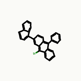 Brc1c2ccccc2c(-c2ccccc2)c2ccc(-c3cccc4ccccc34)cc12